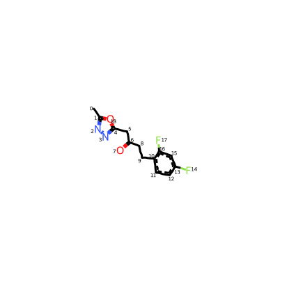 Cc1nnc(CC(=O)CCc2ccc(F)cc2F)o1